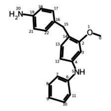 COc1cc(Nc2ccccc2)ccc1Cc1ccc(N)cc1